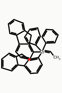 C[CH]=[Zr]([c]1ccccc1)([c]1ccccc1)([c]1cccc2c1Cc1ccccc1-2)[c]1cccc2c1Cc1ccccc1-2